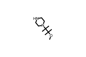 COC(C)(C)C(C)(C)N1CCNCC1